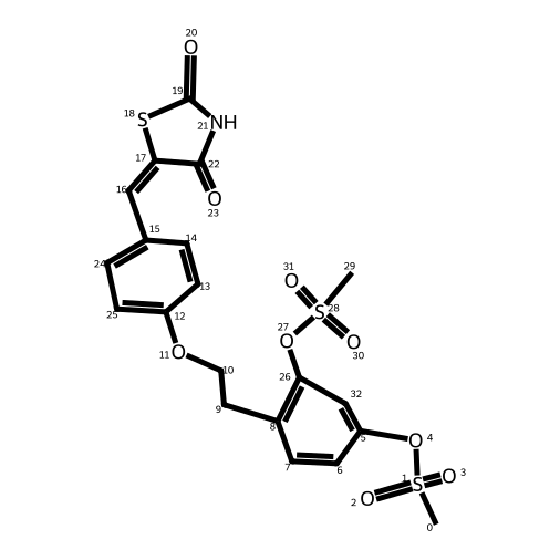 CS(=O)(=O)Oc1ccc(CCOc2ccc(C=C3SC(=O)NC3=O)cc2)c(OS(C)(=O)=O)c1